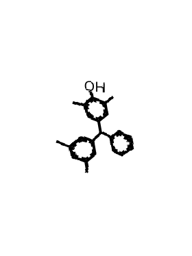 Cc1cc(C)cc(C(c2ccccc2)c2cc(C)c(O)c(C)c2)c1